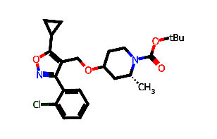 C[C@@H]1CC(OCc2c(-c3ccccc3Cl)noc2C2CC2)CCN1C(=O)OC(C)(C)C